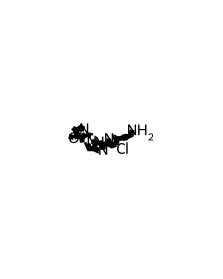 COc1c(C)cnc(Cn2ccc3cnc(-c4cc(Cl)c(C#CCN)cn4)nc32)c1C